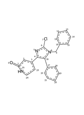 O=c1cc(-c2nc(Cl)n(Cc3ccccc3)c2-c2ccccc2)cc[nH]1